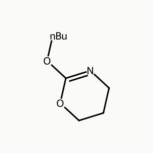 CCCCOC1=NCCCO1